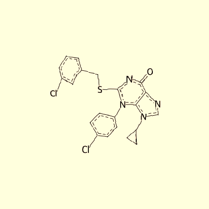 O=c1nc(SCc2cccc(Cl)c2)n(-c2ccc(Cl)cc2)c2c1ncn2C1CC1